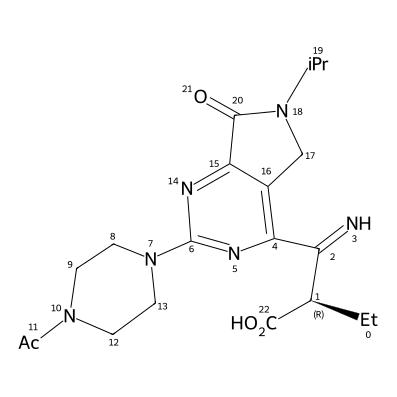 CC[C@H](C(=N)c1nc(N2CCN(C(C)=O)CC2)nc2c1CN(C(C)C)C2=O)C(=O)O